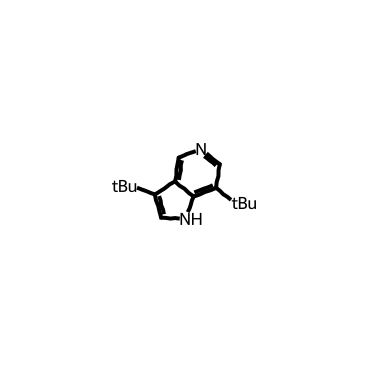 CC(C)(C)c1c[nH]c2c(C(C)(C)C)cncc12